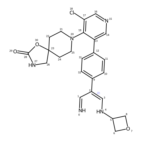 N=C/C(=C\NC1COC1)c1ccc(-c2cncc(Cl)c2N2CCC3(CC2)CNC(=O)O3)cc1